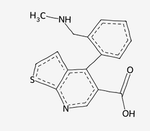 CNCc1ccccc1-c1c(C(=O)O)cnc2sccc12